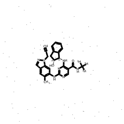 [2H]C([2H])([2H])NC(=O)c1cnc(Nc2cc3c(cnn3CC#C)cc2C)nc1N[C@H]1c2ccccc2C[C@H]1O